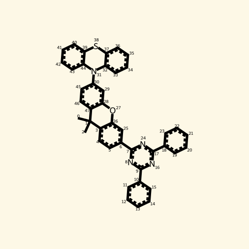 CC1(C)c2ccc(-c3nc(-c4ccccc4)nc(-c4ccccc4)n3)cc2Oc2cc(N3c4ccccc4Sc4ccccc43)ccc21